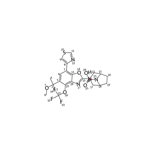 COC(C)(C)c1cc(-c2cscn2)c2oc(N3CC4CCC(C3)N4C(=O)O)nc2c1OC(F)(F)F